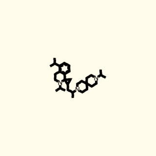 CC(C)c1cccc2c1CCN(C(C)C)C21CC1CC(C)N1CCC2(CCN(C(C)C)CC2)CC1